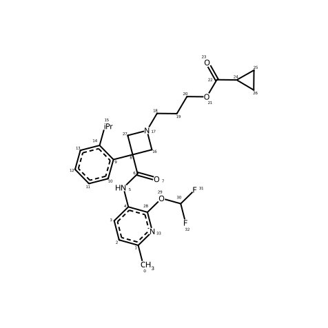 Cc1ccc(NC(=O)C2(c3ccccc3C(C)C)CN(CCCOC(=O)C3CC3)C2)c(OC(F)F)n1